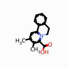 Cc1cc2[n+](c(C(=O)O)c1C)CCc1ccccc1-2